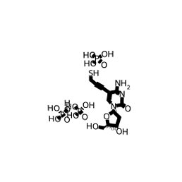 Nc1nc(=O)n([C@H]2C[C@H](O)[C@@H](CO)O2)cc1C#CCS.O=P(O)(O)O.O=P(O)(O)O.O=P(O)(O)O